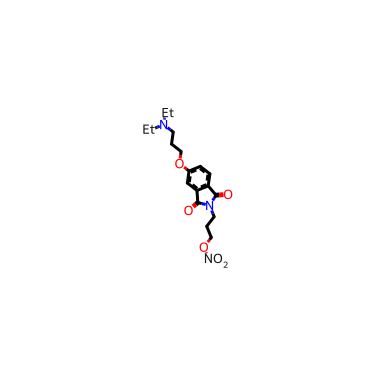 CCN(CC)CCCOc1ccc2c(c1)C(=O)N(CCCO[N+](=O)[O-])C2=O